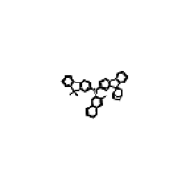 Cc1cc2ccccc2cc1N(c1ccc2c(c1)C(C)(C)c1ccccc1-2)c1ccc2c(c1)C1(CC3CCC1C3)c1ccccc1-2